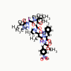 CC[C@H](C)C([C@@H](CC(=O)N1CCC[C@H]1[C@H](OC)[C@@H](C)C(=O)N[C@@H](Cc1ccccc1)C(=O)N[C@@H](Cc1ccc([N+](=O)[O-])cc1)C(=O)OC)OC)N(C)C(=O)C(I)NC(=O)[C@H](C(C)C)N(C)C